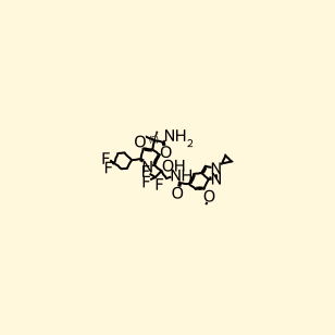 COc1cc(C(=O)NCC(O)(c2cc3c(c(C4CCC(F)(F)CC4)n2)OC[C@]3(C)C(N)=O)C(F)(F)F)cc2cn(C3CC3)nc12